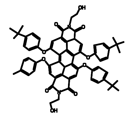 Cc1ccc(OC2=CC3=C4C(=CC(Oc5ccc(C(C)(C)C)cc5)=C5C6=c7c8c(cc(Oc9ccc(C(C)(C)C)cc9)c7=C2C54)C(=O)N(CCO)C(=O)C8C=C6Oc2ccc(C(C)(C)C)cc2)C(=O)N(CCO)C3=O)cc1